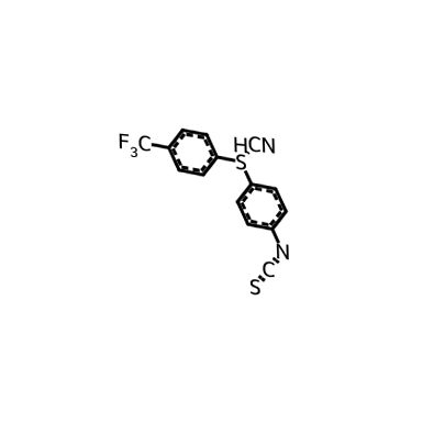 N#C[SH](c1ccc(N=C=S)cc1)c1ccc(C(F)(F)F)cc1